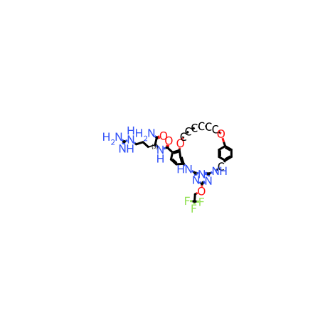 N=C(N)NCCC[C@H](NC(=O)c1ccc2cc1OCCCCCCOc1ccc(cc1)CNc1nc(nc(OCC(F)(F)F)n1)N2)C(N)=O